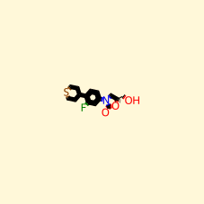 O=C1O[C@@H](CO)CN1c1ccc(C2CCSCC2)c(F)c1